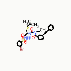 CCCN(C(=O)N[C@H](CSCC(C)C)C(=O)NS(=O)(=O)c1cccc(Br)c1)C(=O)c1cccc(C#Cc2ccccc2)c1